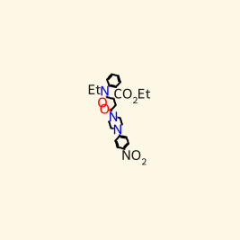 CCOC(=O)C(CC(=O)N1CCN(c2ccc([N+](=O)[O-])cc2)CC1)C(=O)N(CC)c1ccccc1